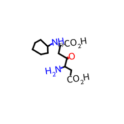 NC(CC(=O)O)C(=O)C[C@H](NC1CCCCC1)C(=O)O